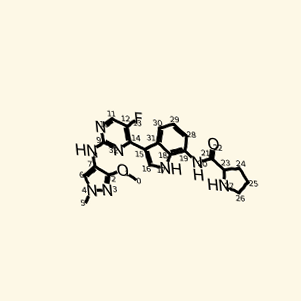 COc1nn(C)cc1Nc1ncc(F)c(-c2c[nH]c3c(NC(=O)C4CCCN4)cccc23)n1